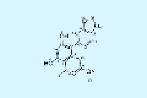 CCc1c(O)cc(O)c(-c2ccc3c(c2)OCO3)c1CC(=O)OC